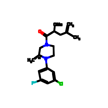 C=C(C)CC(OC)C(=O)N1CCN(c2cc(F)cc(Cl)c2)[C@@H](C)C1